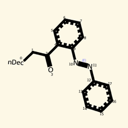 CCCCCCCCCCCC(=O)c1ccccc1/N=N/c1ccccc1